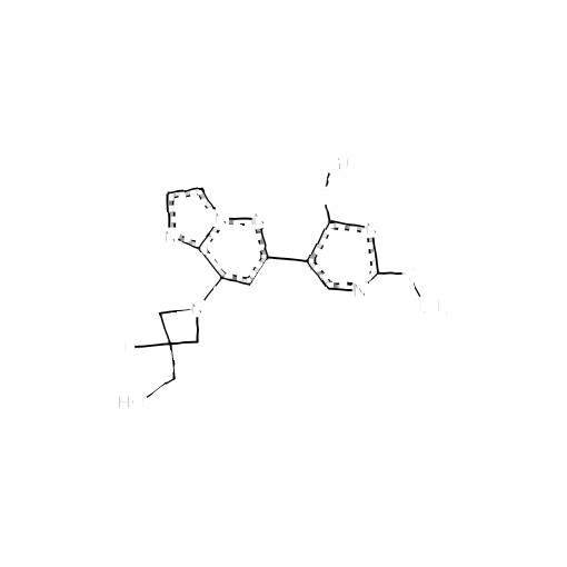 COc1ncc(-c2cc(N3CC(F)(CO)C3)c3nccn3n2)c(OC)n1